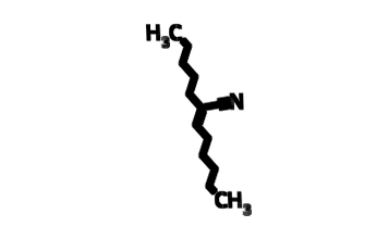 CCCCCC=C(C#N)CCCCC